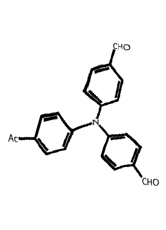 CC(=O)c1ccc(N(c2ccc(C=O)cc2)c2ccc(C=O)cc2)cc1